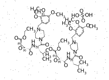 CCOC(=O)[C@@H]1O[C@H]1C(=O)N[C@@H](CC(C)C)C(=O)N1CCN(Cc2ccc(OC)c(OC)c2OC)CC1.CCOC(=O)[C@@H]1O[C@H]1C(=O)N[C@@H](CC(C)C)C(=O)N1CCN(Cc2ccc(OC)c(OC)c2OC)CC1.O=S(=O)(O)O